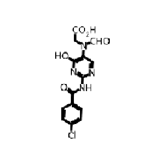 O=CN(CC(=O)O)c1cnc(NC(=O)c2ccc(Cl)cc2)nc1O